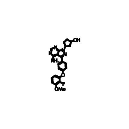 COc1cccc(Oc2ccc(-c3nn(C4CCC(O)C4)c4ncnc(N)c34)cc2)c1F